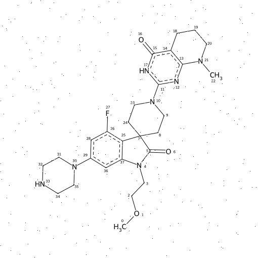 COCCN1C(=O)C2(CCN(c3nc4c(c(=O)[nH]3)CCCN4C)CC2)c2c(F)cc(N3CCNCC3)cc21